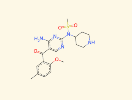 COc1ccc(C)cc1C(=O)c1cnc(N(C2CCNCC2)S(C)(=O)=O)nc1N